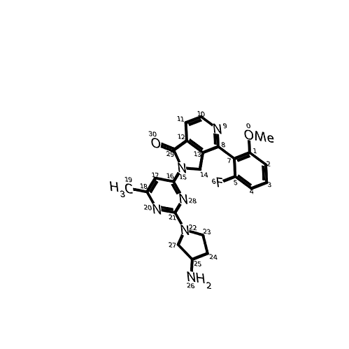 COc1cccc(F)c1-c1nccc2c1CN(c1cc(C)nc(N3CCC(N)C3)n1)C2=O